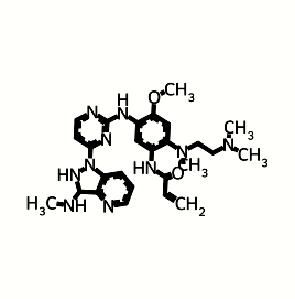 C=CC(=O)Nc1cc(Nc2nccc(N3NC(NC)c4ncccc43)n2)c(OC)cc1N(C)CCN(C)C